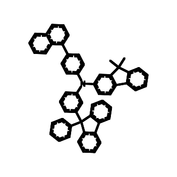 CC1(C)c2ccccc2-c2ccc(N(c3ccc(-c4cccc5ccccc45)cc3)c3cccc(C4(c5ccccc5)c5ccccc5-c5ccccc54)c3)cc21